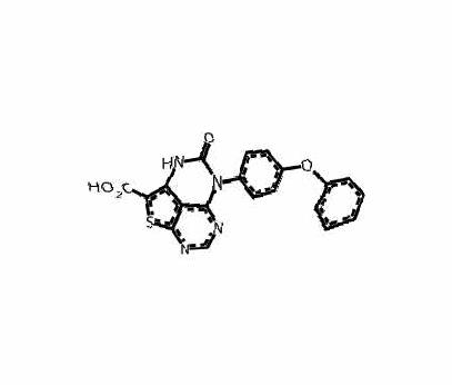 O=C(O)c1sc2ncnc3c2c1NC(=O)N3c1ccc(Oc2ccccc2)cc1